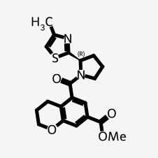 COC(=O)c1cc2c(c(C(=O)N3CCC[C@@H]3c3nc(C)cs3)c1)CCCO2